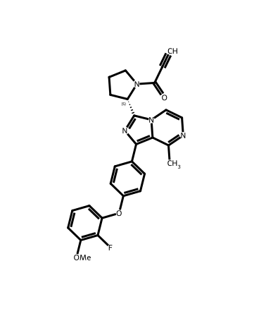 C#CC(=O)N1CCC[C@H]1c1nc(-c2ccc(Oc3cccc(OC)c3F)cc2)c2c(C)nccn12